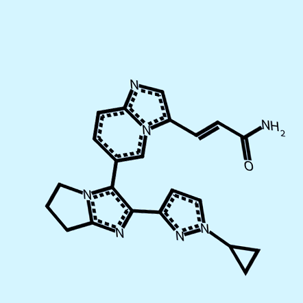 NC(=O)/C=C/c1cnc2ccc(-c3c(-c4ccn(C5CC5)n4)nc4n3CCC4)cn12